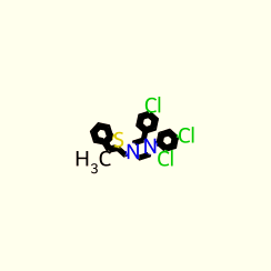 Cc1c(CN2CCN(c3ccc(Cl)cc3Cl)C(c3ccc(Cl)cc3)C2)sc2ccccc12